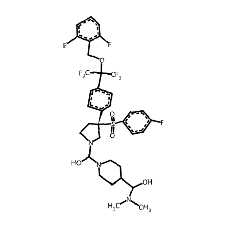 CN(C)C(O)C1CCN(C(O)N2CC[C@](c3ccc(C(OCc4c(F)cccc4F)(C(F)(F)F)C(F)(F)F)cc3)(S(=O)(=O)c3ccc(F)cc3)C2)CC1